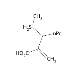 C=C(C(=O)O)C(CCC)[SiH2]C